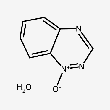 O.[O-][n+]1ncnc2ccccc21